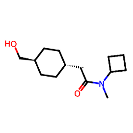 CN(C(=O)[CH][C@H]1CC[C@H](CO)CC1)C1CCC1